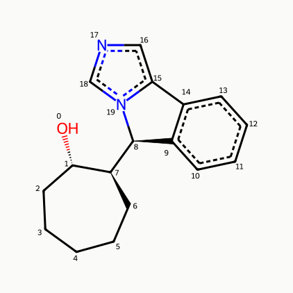 O[C@H]1CCCCC[C@@H]1[C@@H]1c2ccccc2-c2cncn21